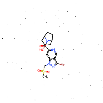 CS(=O)(=O)Cn1nc(Br)c2cnc(C(=O)N3C4CCC3CC(O)C4)cc21